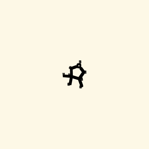 CC1COCC1(C)C